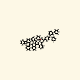 c1ccc(N(c2ccc(-c3ccc4c5c(c6ccccc6c4c3)-c3c(cc(N(c4ccccc4)c4cccc6c4oc4ccccc46)c4ccccc34)C5(c3ccccc3)c3ccccc3)cc2)c2cccc3c2oc2ccccc23)cc1